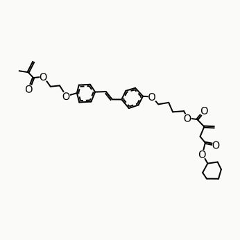 C=C(C)C(=O)OCCOc1ccc(/C=C/c2ccc(OCCCCOC(=O)C(=C)CC(=O)OC3CCCCC3)cc2)cc1